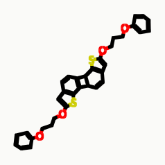 C1=CC2c3c(ccc4cc(OCCCOc5ccccc5)sc34)C2c2sc(OCCCOc3ccccc3)cc21